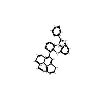 C1=CC2=C(c3cccc4c3Oc3cccc5nc(-c6ccccc6)n-4c35)C=C3CC=CC4=C3C2C(=C1)C=C4